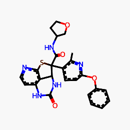 Cc1nc(Oc2ccccc2)ccc1C1(C(=O)NC2CCOC2)Sc2nccc3c2C1NC(=O)N3